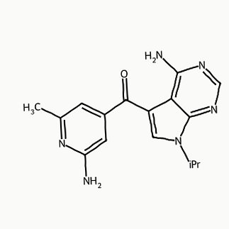 Cc1cc(C(=O)c2cn(C(C)C)c3ncnc(N)c23)cc(N)n1